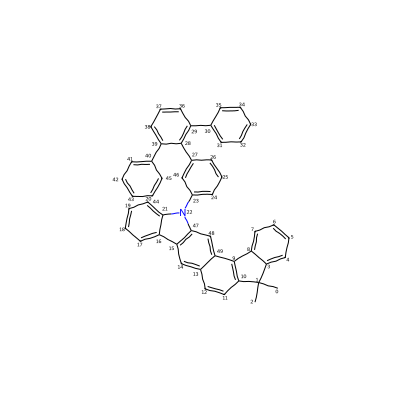 CC1(C)c2ccccc2-c2c1ccc1cc3c4ccccc4n(-c4cccc(-c5c(-c6ccccc6)cccc5-c5ccccc5)c4)c3cc21